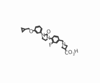 O=C(O)C1CN(Cc2ccc(N3CCN(c4cccc(OCC5CC5)c4)C3=O)c(F)c2)C1